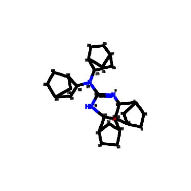 C1CC2CC1CC2N=C(NC1CC2CCC1C2)N(C1CC2CCC1C2)C1CC2CCC1C2